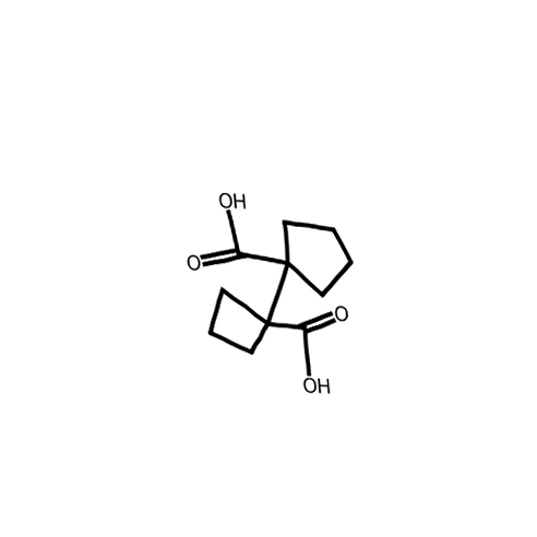 O=C(O)C1(C2(C(=O)O)CCC2)CCCC1